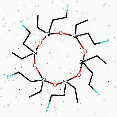 CC[Si]1(CCF)O[Si](CC)(CCF)O[Si](CC)(CCF)O[Si](CC)(CCF)O[Si](CC)(CCF)O[Si](CC)(CCF)O1